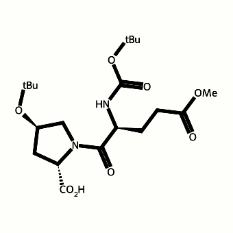 COC(=O)CC[C@H](NC(=O)OC(C)(C)C)C(=O)N1C[C@H](OC(C)(C)C)C[C@H]1C(=O)O